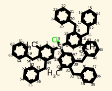 Cc1cc([Si](Cl)(c2cc(C)c(Cc3ccccc3)c(Cc3ccccc3)c2)c2cc(C)c(Cc3ccccc3)c(Cc3ccccc3)c2)cc(Cc2ccccc2)c1Cc1ccccc1